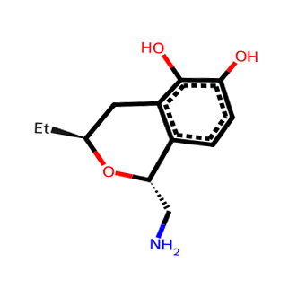 CC[C@H]1Cc2c(ccc(O)c2O)[C@H](CN)O1